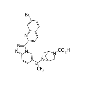 O=C(O)N1CC2CC1CN2[C@@H](c1ccc2nnc(-c3ccc4ccc(Br)cc4n3)n2c1)C(F)(F)F